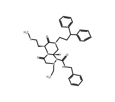 CCN1CC(=O)N2[C@@H](CCSC)C(=O)N(CCC(c3ccccc3)c3ccccc3)C[C@@H]2N1C(=O)NCc1ccccc1